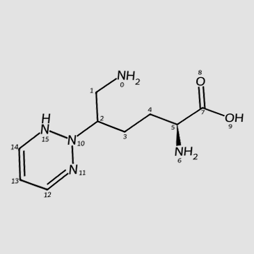 NCC(CC[C@H](N)C(=O)O)N1N=CC=CN1